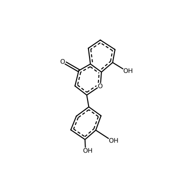 O=c1cc(-c2ccc(O)c(O)c2)oc2c(O)cccc12